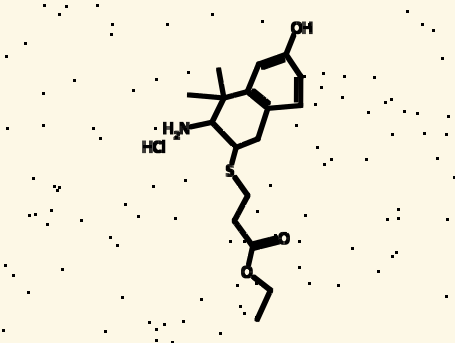 CCOC(=O)CCSC1Cc2ccc(O)cc2C(C)(C)C1N.Cl